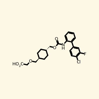 O=C(O)COC[C@H]1CC[C@H](COC(=O)Nc2ccccc2-c2ccc(Cl)c(F)c2)CC1